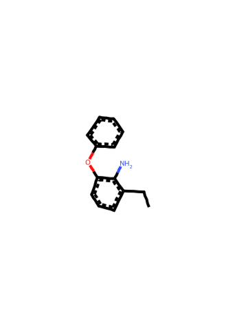 CCc1cccc(Oc2ccccc2)c1N